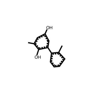 Cc1ccccc1-c1cc(O)cc(C)c1O